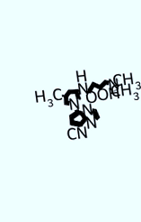 C[C@H]1C[C@@H](NC(=O)C[C@H](O)CN(C)C)CN(c2ccc(C#N)c3nccnc23)C1